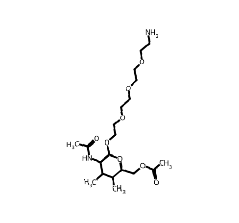 CC(=O)NC1C(OCCOCCOCCOCCN)OC(COC(C)=O)C(C)C1C